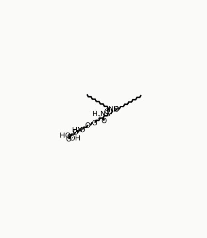 CCCCCCCCCCCCOC[C@H](CSC[C@H](N)C(=O)CCCOCCOCCONCOCCP(=O)(O)O)NC(=O)CCCCCCCCCCC